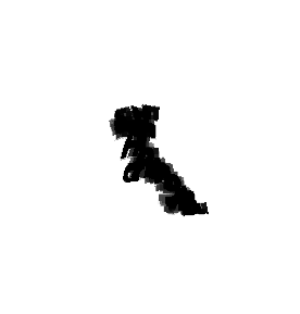 CCC(C)N1N=CN(c2ccc(N3CCN(c4ccc(NCC5COC(CN6N=CC=C=C6C)(c6ccc(Cl)cc6Cl)N5)cc4Cl)CC3)cc2)C1=C1CC1